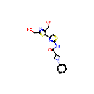 O=C(Nc1nc(-c2sc(CO)nc2CO)cs1)C1CN(c2ccccc2)C1